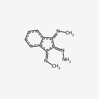 CN=c1c(=NN)c(=NC)c2ccccc12